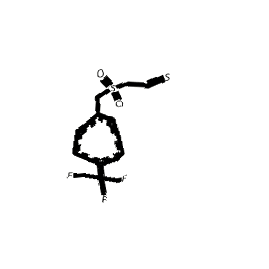 O=S(=O)(CC=S)Cc1ccc(C(F)(F)F)cc1